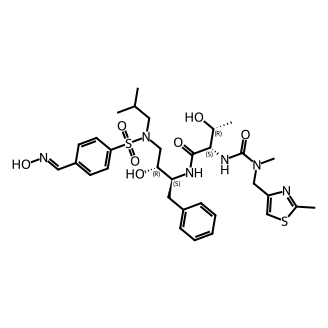 Cc1nc(CN(C)C(=O)N[C@H](C(=O)N[C@@H](Cc2ccccc2)[C@H](O)CN(CC(C)C)S(=O)(=O)c2ccc(C=NO)cc2)[C@@H](C)O)cs1